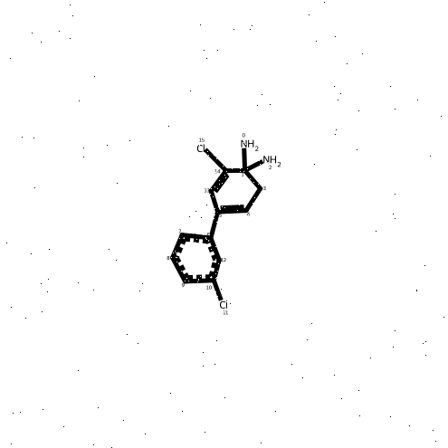 NC1(N)CC=C(c2cccc(Cl)c2)C=C1Cl